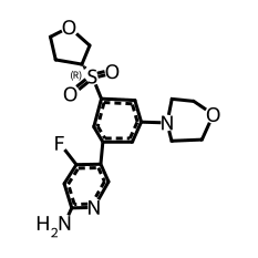 Nc1cc(F)c(-c2cc(N3CCOCC3)cc(S(=O)(=O)[C@@H]3CCOC3)c2)cn1